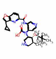 C[C@H]1CNC[C@@H](N(C(=O)O)c2ccncc2NC(=O)c2ccc3occ(C4CC4)c3n2)[C@@H]1O[Si](C)(C)C(C)(C)C